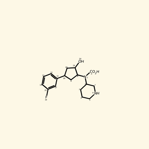 O=C(O)N(C1CCCNC1)C1CC(c2cccc(F)c2)CC1O